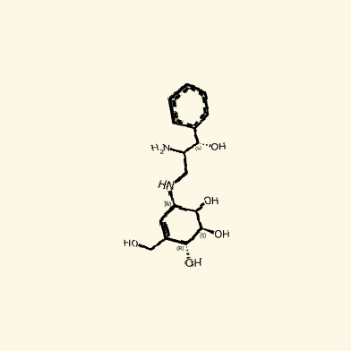 NC(CN[C@@H]1C=C(CO)[C@@H](O)[C@H](O)C1O)[C@@H](O)c1ccccc1